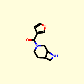 O=C(c1ccoc1)N1CCC2CNC2C1